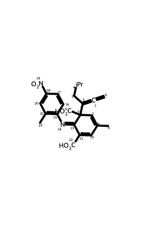 C=C=C(CC(C)C)C1(C(=O)O)C=C(C)C=C(C(=O)O)C1=Nc1ccc([N+](=O)[O-])cc1C